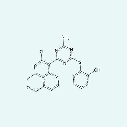 Nc1nc(Sc2ccccc2O)nc(-c2c(Cl)cc3c4c(cccc24)COC3)n1